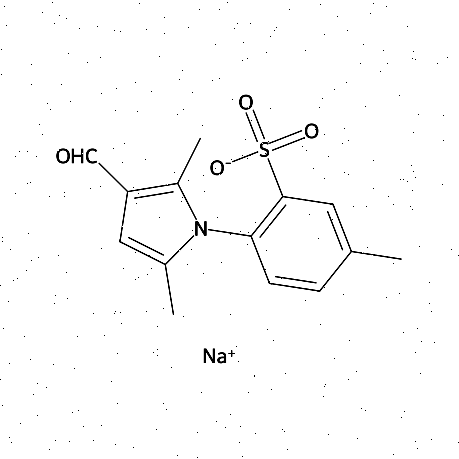 Cc1ccc(-n2c(C)cc(C=O)c2C)c(S(=O)(=O)[O-])c1.[Na+]